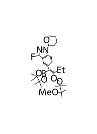 CC/C(OOC(C)(C)C(C)(C)OC)=C(/B1OC(C)(C)C(C)(C)O1)c1ccc2c(c1)c(F)nn2C1CCCCO1